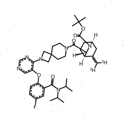 [2H]C([2H])=C1C[C@@H]2CC[C@H]1[C@H](C(=O)N1CCC3(CC1)CN(c1ncncc1Oc1ccc(F)cc1C(=O)N(C(C)C)C(C)C)C3)N2C(=O)OC(C)(C)C